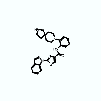 O=C(Nc1ccccc1N1CCC2(CCNC2)CC1)c1csc(-n2ncc3ccccc32)n1